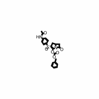 CC(=O)Nc1ccc([S+]([O-])C2=C(OC(=O)OCc3ccccc3)N3C(=O)CC3C2)cc1